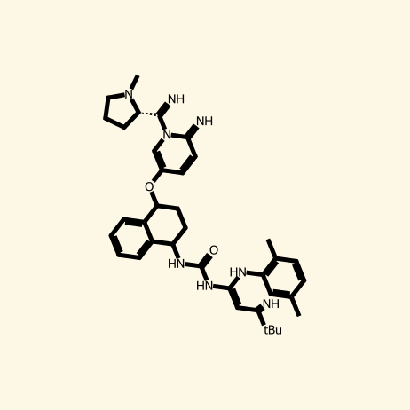 Cc1ccc(C)c(N/C(=C\C(=N)C(C)(C)C)NC(=O)NC2CCC(Oc3ccc(=N)n(C(=N)[C@@H]4CCCN4C)c3)c3ccccc32)c1